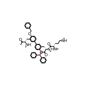 CNCCC[C@H](NC)C(=O)N(C)[C@@H](Cc1cc(-c2ccc(OCc3ccccc3)c(C[C@H](NC)C(C)=O)c2)ccc1OCc1ccccc1)C(=O)OCc1ccccc1